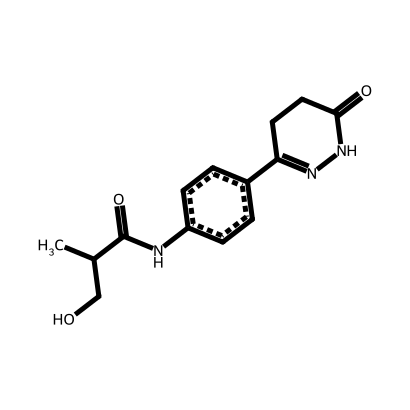 CC(CO)C(=O)Nc1ccc(C2=NNC(=O)CC2)cc1